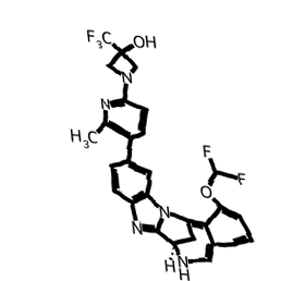 Cc1nc(N2CC(O)(C(F)(F)F)C2)ccc1-c1ccc2nc3n(c2c1)C1=c2c(OC(F)F)cccc2=CN[C@@H]3C1